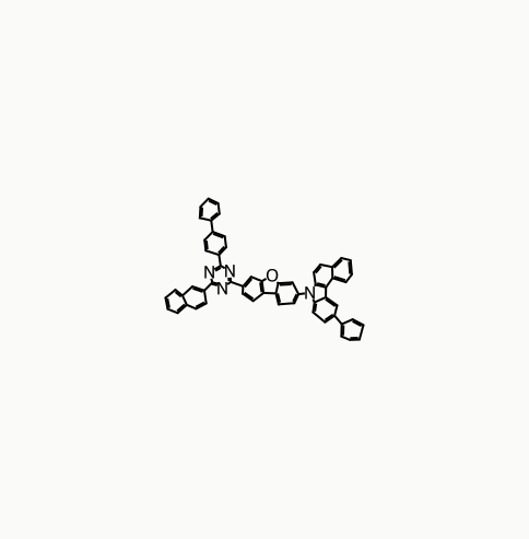 c1ccc(-c2ccc(-c3nc(-c4ccc5ccccc5c4)nc(-c4ccc5c(c4)oc4cc(-n6c7ccc(-c8ccccc8)cc7c7c8ccccc8ccc76)ccc45)n3)cc2)cc1